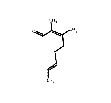 CC=CCCC(C)=C(C)C=O